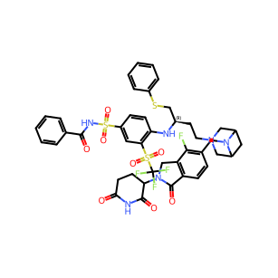 O=C1CCC(N2Cc3c(ccc(CN4C5CC4CN(CC[C@H](CSc4ccccc4)Nc4ccc(S(=O)(=O)NC(=O)c6ccccc6)cc4S(=O)(=O)C(F)(F)F)C5)c3F)C2=O)C(=O)N1